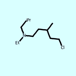 CCN(CCC(C)CCCl)CC(C)C